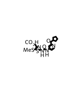 CSc1sc(NC(=O)Nc2ccnc(C(=O)C3CCCC3)c2)nc1CC(=O)O